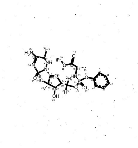 [2H]C1NN([C@@H]2O[C@H](C([2H])([2H])O[P@@](=O)(N[C@@H](C)C(=O)OC(C)C)Oc3ccccc3)[C@@H](O)[C@@]2(C)O)C(=O)N=C1N